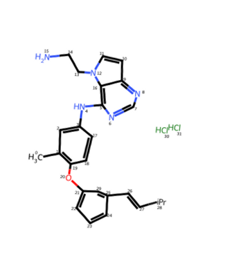 Cc1cc(Nc2ncnc3ccn(CCN)c23)ccc1Oc1cccc(/C=C/C(C)C)c1.Cl.Cl